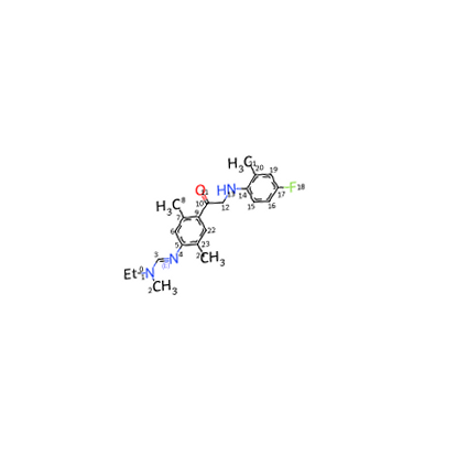 CCN(C)/C=N/c1cc(C)c(C(=O)CNc2ccc(F)cc2C)cc1C